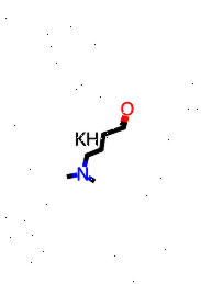 CN(C)CCCC=O.[KH]